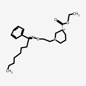 CCCCCCC/C(=N\OCCN1CCC[C@@H](C(=O)OCC)C1)c1ccccc1